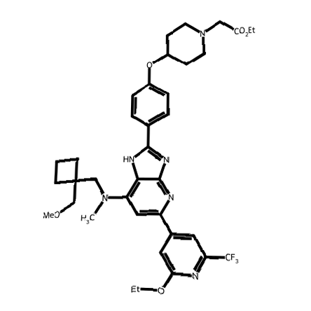 CCOC(=O)CN1CCC(Oc2ccc(-c3nc4nc(-c5cc(OCC)nc(C(F)(F)F)c5)cc(N(C)CC5(COC)CCC5)c4[nH]3)cc2)CC1